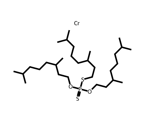 CC(C)CCCC(C)CCOP(=S)(OCCC(C)CCCC(C)C)SCCC(C)CCCC(C)C.[Cr]